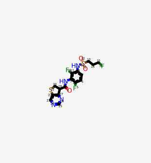 O=C(Nc1c(F)ccc(NS(=O)(=O)CCCF)c1F)C1CSc2cncnc21